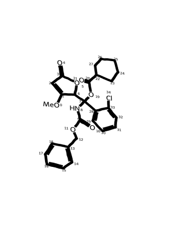 COC1=CC(=O)OC1C(NC(=O)OCc1ccccc1)(OC(=O)C1CCCCC1)c1ccccc1Cl